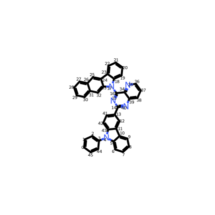 c1ccc(-n2c3ccccc3c3cc(-c4nc(-n5c6ccccc6c6cc7ccccc7cc65)c5ncccc5n4)ccc32)cc1